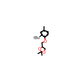 Cc1ccc(OCC2COC(C)(C)O2)c(C(C)(C)C)c1